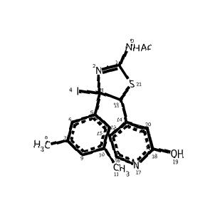 CC(=O)NC1=NC(I)(c2cc(C)cc(C)c2)C(c2ccnc(O)c2)S1